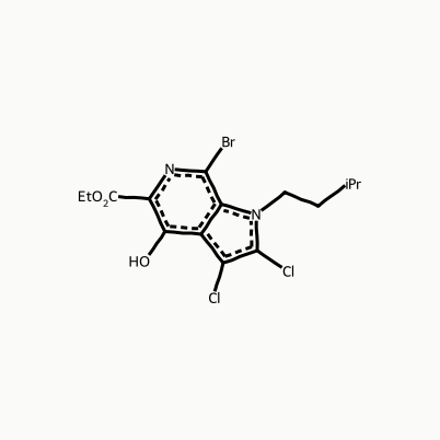 CCOC(=O)c1nc(Br)c2c(c1O)c(Cl)c(Cl)n2CCC(C)C